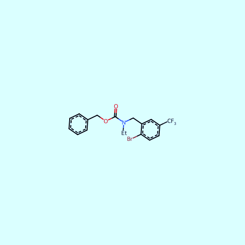 CCN(Cc1cc(C(F)(F)F)ccc1Br)C(=O)OCc1ccccc1